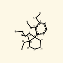 CCCCC1(c2cccc(CC)c2CC)CCCCC1(CC)CC